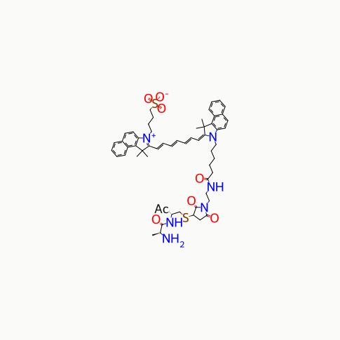 CC(=O)[C@H](CSC1CC(=O)N(CCNC(=O)CCCCCN2/C(=C/C=C/C=C/C=C/C3=[N+](CCCCS(=O)(=O)[O-])c4ccc5ccccc5c4C3(C)C)C(C)(C)c3c2ccc2ccccc32)C1=O)NC(=O)[C@H](C)N